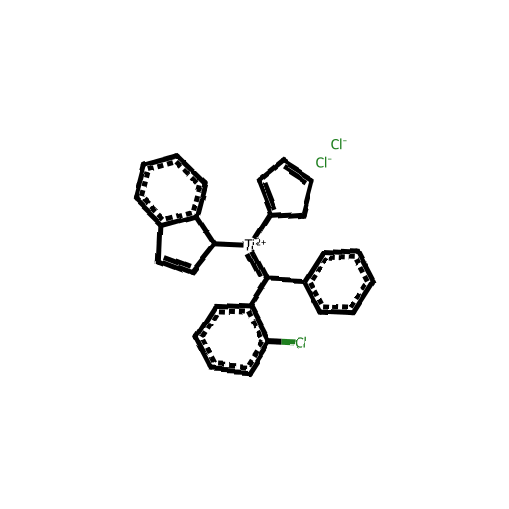 Clc1ccccc1[C](c1ccccc1)=[Ti+2]([C]1=CC=CC1)[CH]1C=Cc2ccccc21.[Cl-].[Cl-]